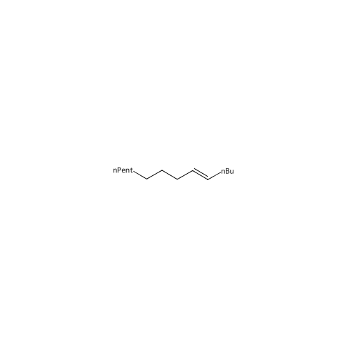 [CH2]CCCC=CCCCCCCC[CH2]